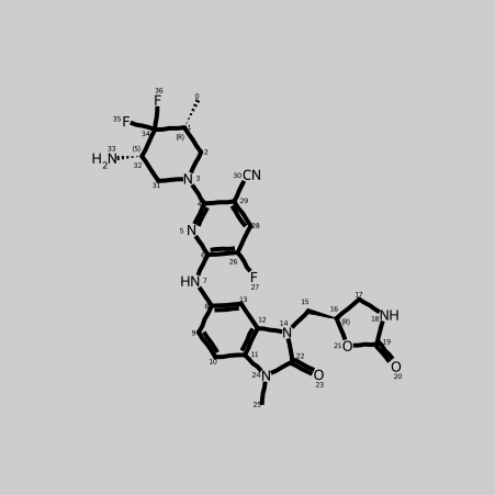 C[C@@H]1CN(c2nc(Nc3ccc4c(c3)n(C[C@H]3CNC(=O)O3)c(=O)n4C)c(F)cc2C#N)C[C@H](N)C1(F)F